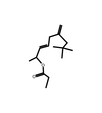 C=C(CC=CC(C)OC(=O)CC)CC(C)(C)C